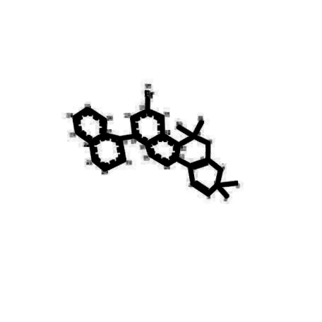 CC1(C)C=CC2=C(C1)CC(C)(C)c1c2ccc2c(-c3cccc4ccccc34)cc(Br)cc12